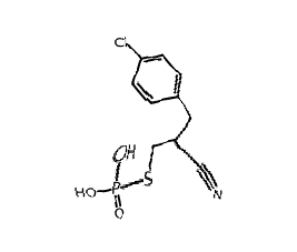 N#CC(CSP(=O)(O)O)Cc1ccc(Cl)cc1